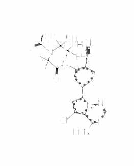 BC1(B)N(c2cc(-c3cc(Cl)c4c(N)ncnn34)ccc2C#N)C(=O)C(C)(C)N(C(C)=O)C1(B)B